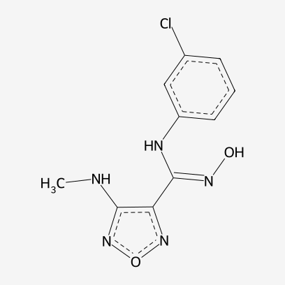 CNc1nonc1/C(=N/O)Nc1cccc(Cl)c1